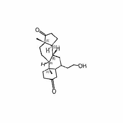 C[C@]12CCC(=O)CC1C(CCO)C[C@@H]1[C@H]2CC[C@]2(C)C(=O)CC[C@@H]12